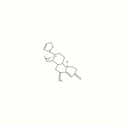 C=C1CC2C(CC[C@@]3(C)C2CC[C@@]32C=CCO2)[C@H]2CCC(=O)C=C12